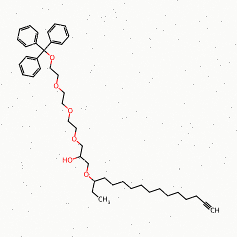 C#CCCCCCCCCCCCC(CC)OCC(O)COCCOCCOCCOC(c1ccccc1)(c1ccccc1)c1ccccc1